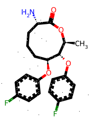 C[C@@H]1OC(=O)[C@@H](N)CCC[C@H](Oc2ccc(F)cc2)[C@H]1Oc1ccc(F)cc1